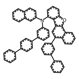 c1ccc(-c2ccc(-c3cccc(N(c4ccc5ccccc5c4)c4cccc5oc6c7ccccc7c(-c7cccc(-c8ccccc8)c7)cc6c45)c3)cc2)cc1